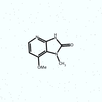 COc1ccnc2[nH]c(=O)n(C)c12